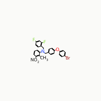 Cc1c(N(Cc2ccc(Oc3ccc(Br)cc3)cc2)Cc2ccc(F)cc2F)cccc1[N+](=O)[O-]